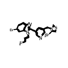 FCCCn1c(-c2cncc(Cn3cncc3Br)c2)nc2ccc(Br)cc21